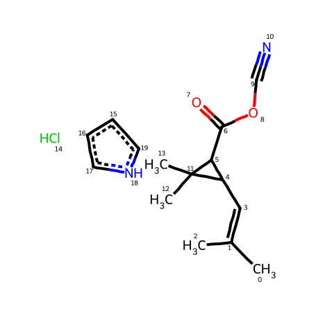 CC(C)=CC1C(C(=O)OC#N)C1(C)C.Cl.c1cc[nH]c1